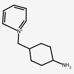 NC1CCC(C[n+]2ccccc2)CC1